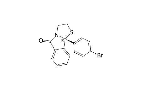 O=C1c2ccccc2[C@@]2(c3ccc(Br)cc3)SCCN12